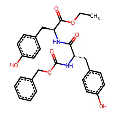 CCOC(=O)[C@H](Cc1ccc(O)cc1)NC(=O)[C@H](Cc1ccc(O)cc1)NC(=O)OCc1ccccc1